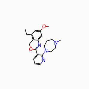 CCc1cc(OC)cc2c1COC(c1cccnc1N1CCCN(C)CC1)=N2